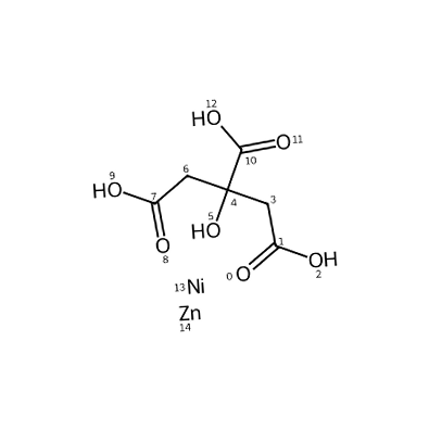 O=C(O)CC(O)(CC(=O)O)C(=O)O.[Ni].[Zn]